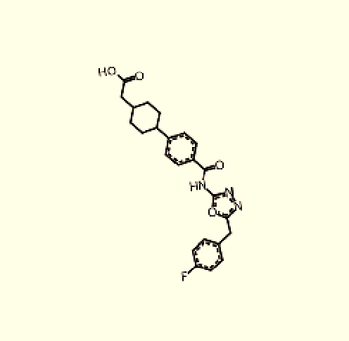 O=C(O)CC1CCC(c2ccc(C(=O)Nc3nnc(Cc4ccc(F)cc4)o3)cc2)CC1